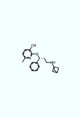 Cc1ccc(C#N)c(O[C@H](CCNC23CC(C2)C3)c2ccccc2)n1